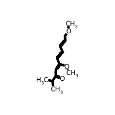 COC/C=C/C=C/C(=C/C(=O)C(C)C)OC